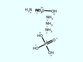 N.N.N.N.N.O=P(O)(O)O.O=S(=O)(O)O